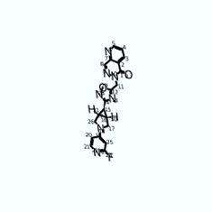 O=c1c2cccnc2cnn1Cc1nc([C@H]2[C@@H]3CN(c4ccnc(F)c4)C[C@@H]32)no1